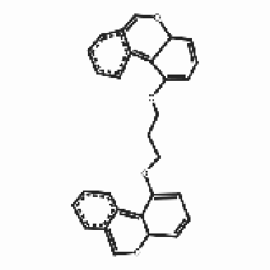 C1=CC2OC=c3ccccc3=C2C(OCCCOC2=CC=CC3OC=c4ccccc4=C23)=C1